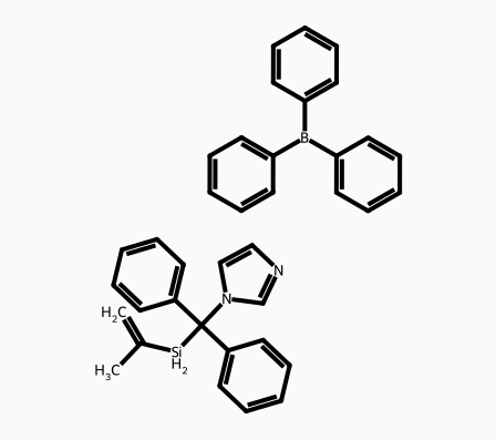 C=C(C)[SiH2]C(c1ccccc1)(c1ccccc1)n1ccnc1.c1ccc(B(c2ccccc2)c2ccccc2)cc1